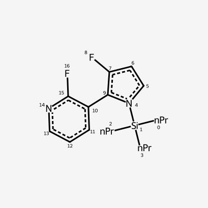 CCC[Si](CCC)(CCC)n1ccc(F)c1-c1cccnc1F